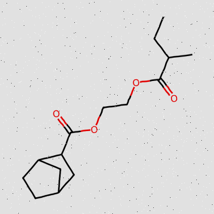 CCC(C)C(=O)OCCOC(=O)C1CC2CCC1C2